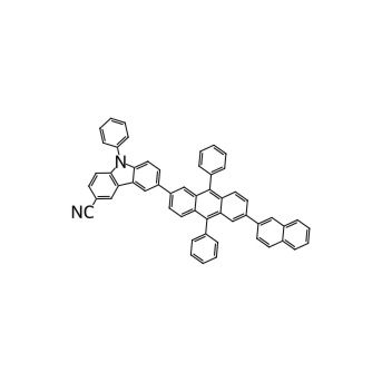 N#Cc1ccc2c(c1)c1cc(-c3ccc4c(-c5ccccc5)c5cc(-c6ccc7ccccc7c6)ccc5c(-c5ccccc5)c4c3)ccc1n2-c1ccccc1